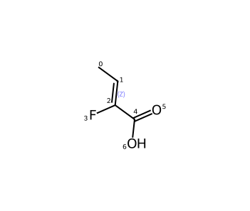 C/C=C(\F)C(=O)O